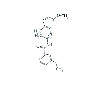 CCc1cccc(C(=O)N/C(C)=N/c2cc(OC)ccc2C)c1